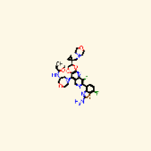 C=CC(=O)N[C@@H]1COCCN(c2c3c(nc4c(F)c(-c5ccc(F)c6sc(N)nc56)ncc24)O[C@H](C2(CN4CCOCC4)CC2)CO3)C1